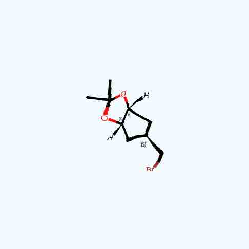 CC1(C)O[C@H]2C[C@H](CBr)C[C@H]2O1